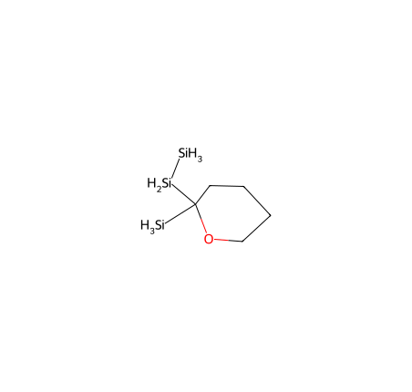 [SiH3][SiH2]C1([SiH3])CCCCO1